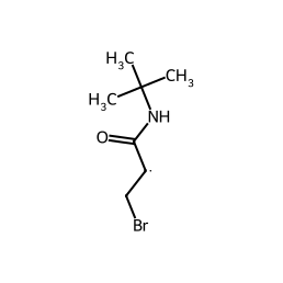 CC(C)(C)NC(=O)[CH]CBr